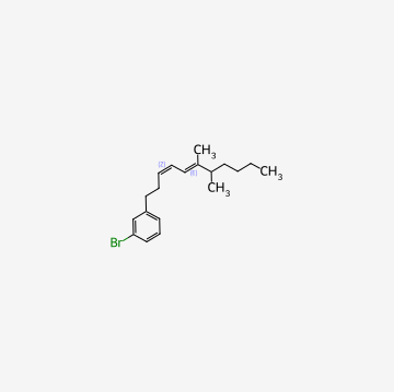 CCCCC(C)/C(C)=C/C=C\CCc1cccc(Br)c1